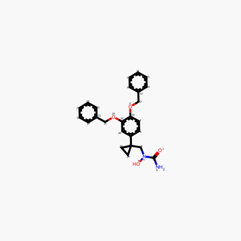 NC(=O)N(O)CC1(c2ccc(OCc3ccccc3)c(OCc3ccccc3)c2)CC1